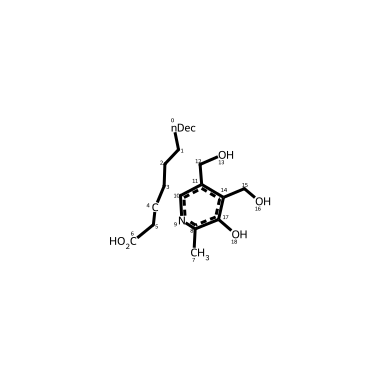 CCCCCCCCCCCCCCCC(=O)O.Cc1ncc(CO)c(CO)c1O